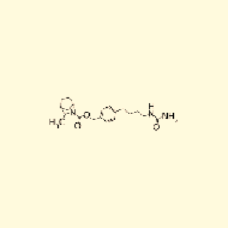 CC1C2CCC(C2)N1C(=O)OCc1ccc(CCCCNC(N)=O)cc1